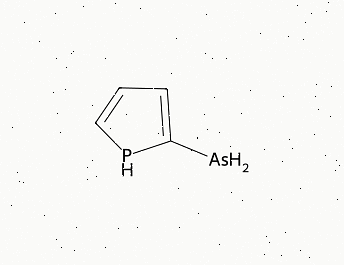 [AsH2]c1ccc[pH]1